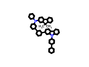 CC1(C)c2ccccc2-c2ccc(N(c3ccccc3)c3cccc(-c4cccc(-c5ccc6c7ccccc7n(-c7ccc(-c8ccccc8)cc7)c6c5)c4)c3)cc21